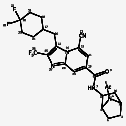 CC(=O)N1C2CCC1C(NC(=O)c1cc(C#N)n3c(CC4CCC(F)(F)CC4)c(C(F)(F)F)nc3c1)C2